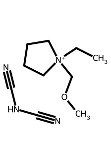 CC[N+]1(COC)CCCC1.N#CNC#N